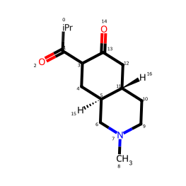 CC(C)C(=O)C1C[C@@H]2CN(C)CC[C@H]2CC1=O